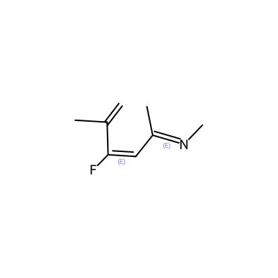 C=C(C)/C(F)=C\C(C)=N\C